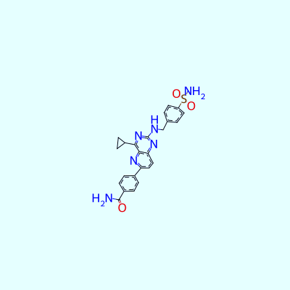 NC(=O)c1ccc(-c2ccc3nc(NCc4ccc(S(N)(=O)=O)cc4)nc(C4CC4)c3n2)cc1